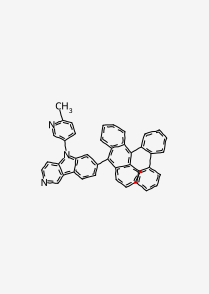 Cc1ccc(-n2c3ccncc3c3ccc(-c4c5ccccc5c(-c5ccccc5-c5ccccc5)c5ccccc45)cc32)cn1